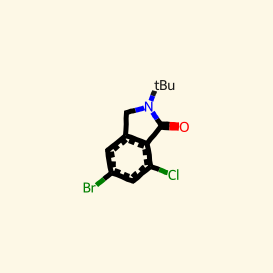 CC(C)(C)N1Cc2cc(Br)cc(Cl)c2C1=O